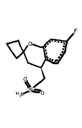 NS(=O)(=O)C[C@H]1CC2(CCC2)Oc2cc(F)ccc21